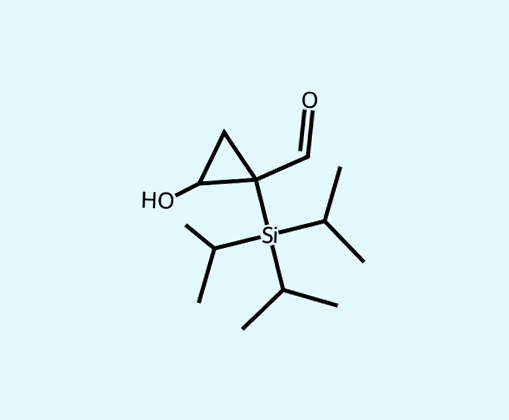 CC(C)[Si](C(C)C)(C(C)C)C1(C=O)CC1O